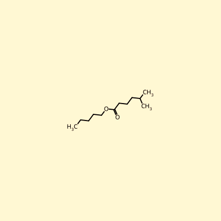 CCCCCOC(=O)CCCC(C)C